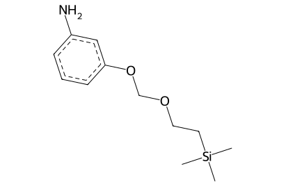 C[Si](C)(C)CCOCOc1cccc(N)c1